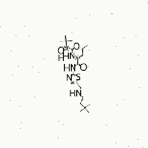 CCC[C@H](NC(=O)[C@@H](O)C(C)(C)C)C(=O)Nc1ncc(CNCCC(C)(C)C)s1